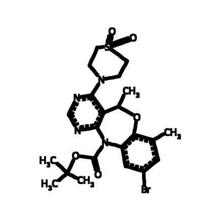 Cc1cc(Br)cc2c1OC(C)c1c(N3CCS(=O)(=O)CC3)ncnc1N2C(=O)OC(C)(C)C